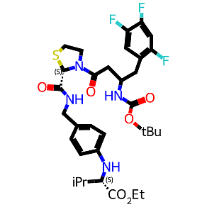 CCOC(=O)[C@@H](Nc1ccc(CNC(=O)[C@@H]2SCCN2C(=O)CC(Cc2cc(F)c(F)cc2F)NC(=O)OC(C)(C)C)cc1)C(C)C